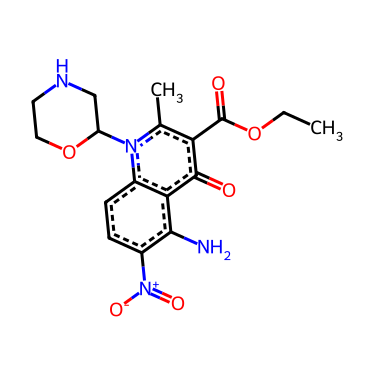 CCOC(=O)c1c(C)n(C2CNCCO2)c2ccc([N+](=O)[O-])c(N)c2c1=O